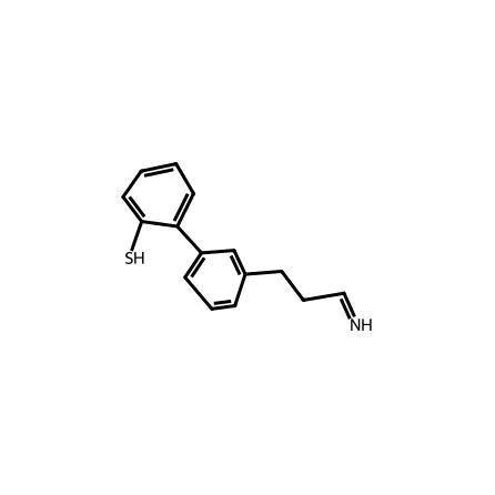 N=CCCc1cccc(-c2ccccc2S)c1